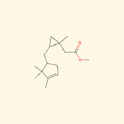 COC(=O)CC1(C)CC1CC1CC=C(C)C1(C)C